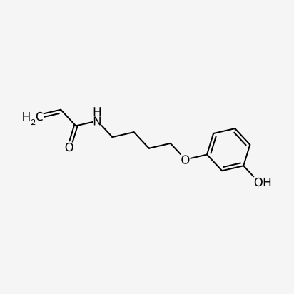 C=CC(=O)NCCCCOc1cccc(O)c1